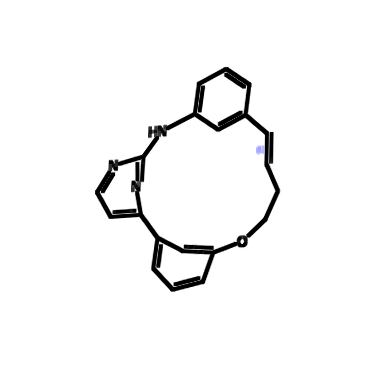 C1=C/c2cccc(c2)Nc2nccc(n2)-c2cccc(c2)OCC/1